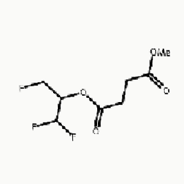 COC(=O)CCC(=O)OC(CF)C(F)F